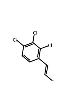 [CH2]C=Cc1ccc(Cl)c(Cl)c1Cl